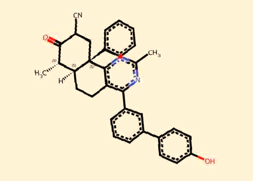 Cc1nc(-c2cccc(-c3ccc(O)cc3)c2)c2c(n1)[C@@]1(c3ccccc3)CC(C#N)C(=O)[C@@H](C)[C@@H]1CC2